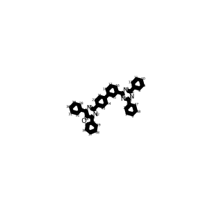 c1ccc(-c2nc(-c3ccccc3)nc(-c3cccc(-c4ccc(-c5nc(-c6ccccc6)c6oc7ccccc7c6n5)cc4)c3)n2)cc1